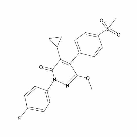 COc1nn(-c2ccc(F)cc2)c(=O)c(C2CC2)c1-c1ccc(S(C)(=O)=O)cc1